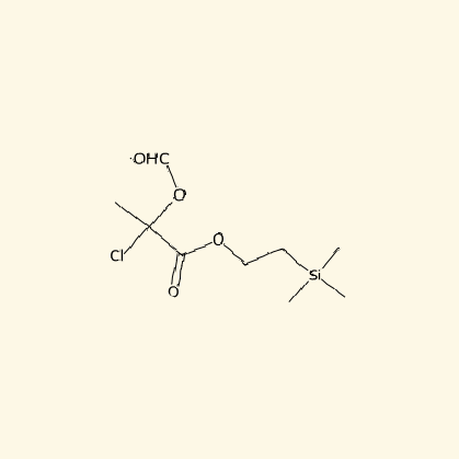 CC(Cl)(O[C]=O)C(=O)OCC[Si](C)(C)C